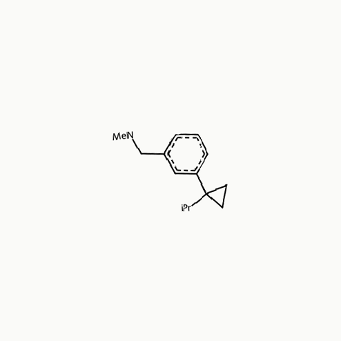 CNCc1cccc(C2(C(C)C)CC2)c1